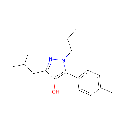 CCCn1nc(CC(C)C)c(O)c1-c1ccc(C)cc1